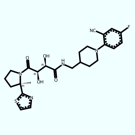 C[C@]1(c2nccs2)CCCN1C(=O)[C@H](O)[C@@H](O)C(=O)NCC1CCN(c2ccc(F)cc2C#N)CC1